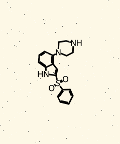 O=S(=O)(c1ccccc1)c1cc2c(N3CCNCC3)cccc2[nH]1